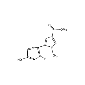 COC(=O)c1cc(-c2ncc(O)cc2F)n(C)c1